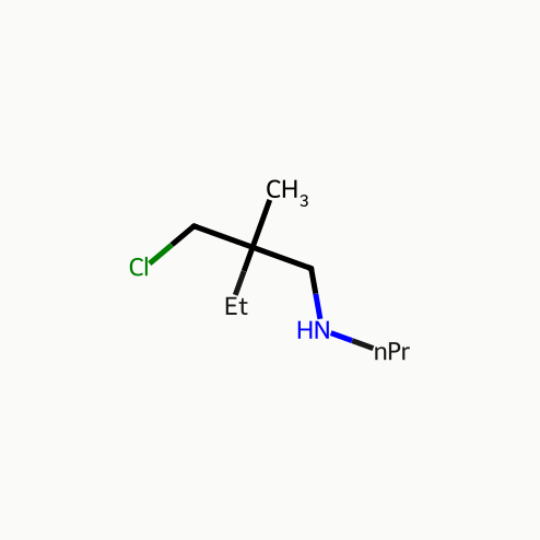 CCCNCC(C)(CC)CCl